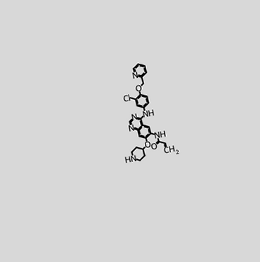 C=CC(=O)Nc1cc2c(Nc3ccc(OCc4ccccn4)c(Cl)c3)ncnc2cc1OC1CCNCC1